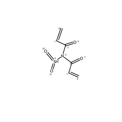 C=CC(=O)N(C(=O)C=C)[SH](=O)=O